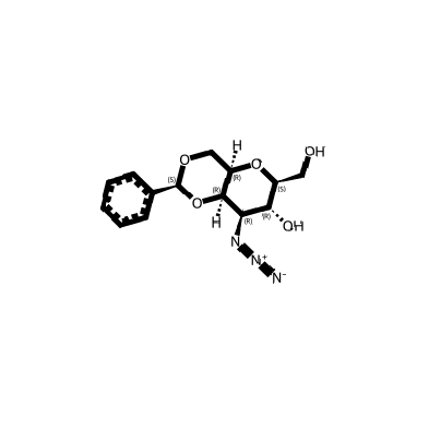 [N-]=[N+]=N[C@@H]1[C@@H](O)[C@H](CO)O[C@@H]2CO[C@H](c3ccccc3)O[C@H]12